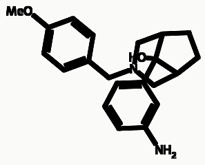 COc1ccc(CN2CC3CCC(C2)C3(O)c2cccc(N)c2)cc1